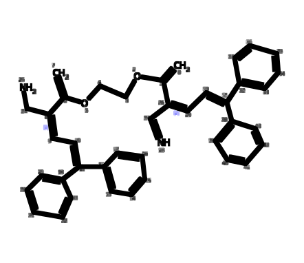 C=C(OCCOC(=C)/C(=C\C=C(c1ccccc1)c1ccccc1)CN)/C(C=N)=C\C=C(c1ccccc1)c1ccccc1